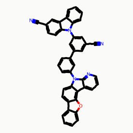 N#Cc1cc(-c2cccc(-n3c4ccc5c6ccccc6oc5c4c4cccnc43)c2)cc(-n2c3ccccc3c3cc(C#N)ccc32)c1